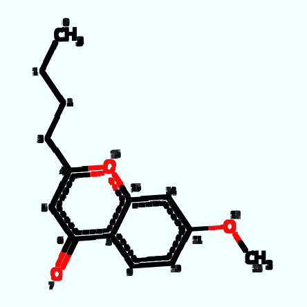 CCCCc1cc(=O)c2ccc(OC)cc2o1